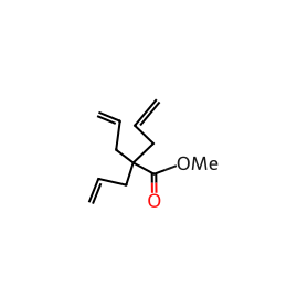 C=CCC(CC=C)(CC=C)C(=O)OC